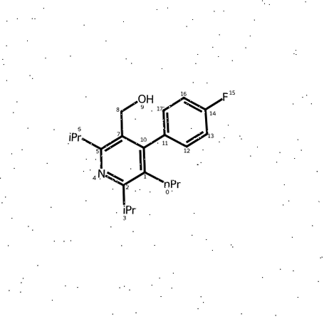 CCCc1c(C(C)C)nc(C(C)C)c(CO)c1-c1ccc(F)cc1